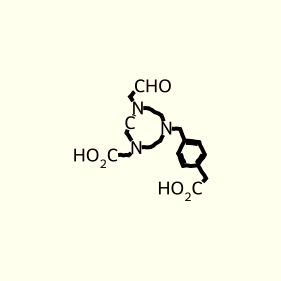 O=CCN1CCN(CC(=O)O)CCN(Cc2ccc(CC(=O)O)cc2)CC1